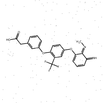 C/N=C1/C(=N)C=CC=C1Oc1ccc(Oc2cccc(CC(=O)O)c2)c(C(F)(F)F)c1